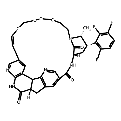 C[C@@H]1[C@H](c2c(F)ccc(F)c2F)C[C@@H]2NC(=O)c3cnc4c(c3)C[C@@H]3C(=O)Nc5ncc(cc5C43)/C=C/CCCOCCCN1C2=O